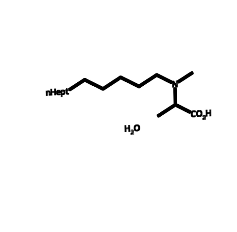 CCCCCCCCCCCCN(C)C(C)C(=O)O.O